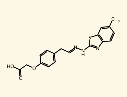 Cc1ccc2nc(NN=CCc3ccc(OCC(=O)O)cc3)sc2c1